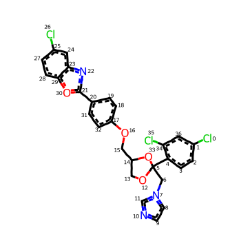 Clc1ccc(C2(Cn3ccnc3)OCC(COc3ccc(-c4nc5cc(Cl)ccc5o4)cc3)O2)c(Cl)c1